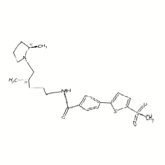 C[C@@H](CCCNC(=O)c1ccc(-c2ccc(S(C)(=O)=O)s2)cc1)CN1CCC[C@H]1C